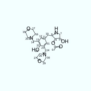 CC(=O)OC1C(O)CNC1Cc1cc(CN2CCOCC2)c(O)c(CN2CCOCC2)c1